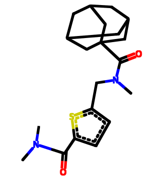 CN(C)C(=O)c1ccc(CN(C)C(=O)C23CC4CC(CC(C4)C2)C3)s1